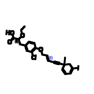 CCO[C@@H](Cc1ccc(OC/C=C/C#CC2(I)C=CC=C(I)C2)c(Cl)c1)C(=O)O